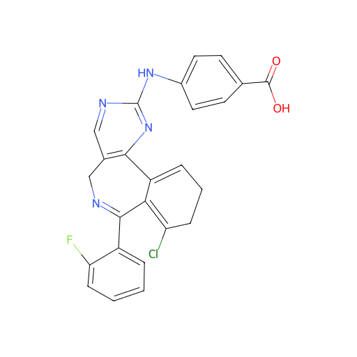 O=C(O)c1ccc(Nc2ncc3c(n2)C2=CCCC(Cl)=C2C(c2ccccc2F)=NC3)cc1